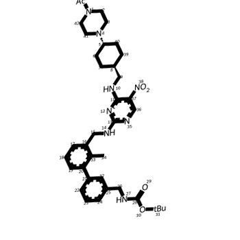 CC(=O)N1CCN([C@H]2CC[C@H](CNc3nc(NCc4cccc(-c5cccc(CNC(=O)OC(C)(C)C)c5)c4C)ncc3[N+](=O)[O-])CC2)CC1